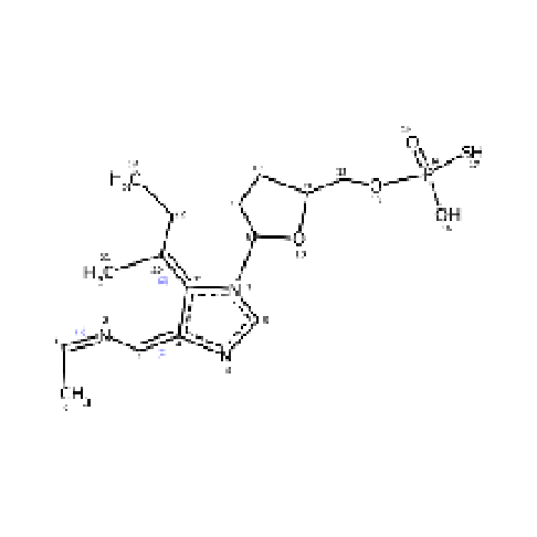 C\C=N/C=c1/ncn(C2CCC(COP(=O)(O)S)O2)/c1=C(/C)CC